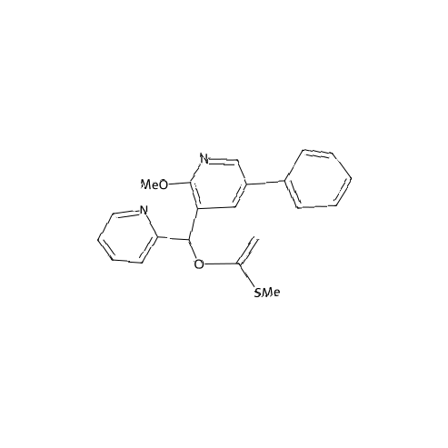 C=C(OC(c1ccccn1)c1cc(-c2ccccc2)cnc1OC)SC